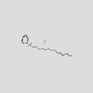 CCCCCCCCCCCCCC[N+](C)(C)c1ccccc1.[Cl-]